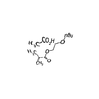 C=C(C)C(=O)OCCOCCCC.CC(=O)O